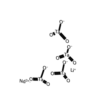 [Li+].[Nd+3].[O]=[Ta](=[O])[O-].[O]=[Ta](=[O])[O-].[O]=[Ta](=[O])[O-].[O]=[Ta](=[O])[O-]